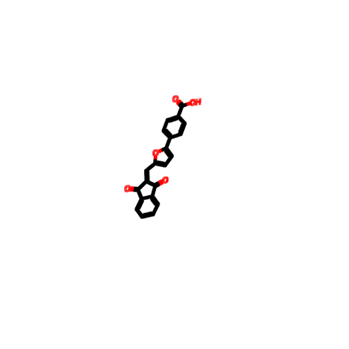 O=C(O)c1ccc(-c2ccc(C=C3C(=O)c4ccccc4C3=O)o2)cc1